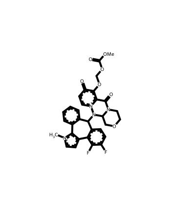 COC(=O)OCOc1c2n(ccc1=O)N(C1c3ccccc3-c3c(ccn3C)-c3c1ccc(F)c3F)C1COCCN1C2=O